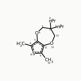 CCCC1(CCC)COc2c(C)sc(C)c2OC1